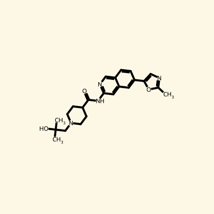 Cc1ncc(-c2ccc3cnc(NC(=O)C4CCN(CC(C)(C)O)CC4)cc3c2)o1